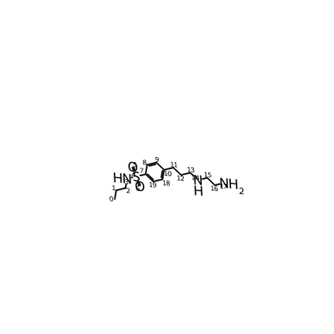 CCCNS(=O)(=O)c1ccc(CCCNCCN)cc1